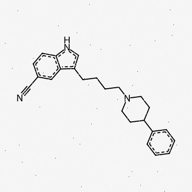 N#Cc1ccc2[nH]cc(CCCCN3CCC(c4ccccc4)CC3)c2c1